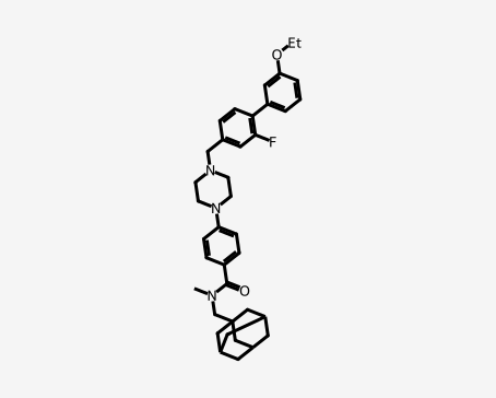 CCOc1cccc(-c2ccc(CN3CCN(c4ccc(C(=O)N(C)CC56CC7CC(CC(C7)C5)C6)cc4)CC3)cc2F)c1